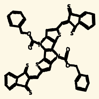 O=C(OCc1ccccc1)n1c2cc(C=C3C(=S)c4ccccc4C3=S)sc2c2c1c1sc(C=C3C(=S)c4ccccc4C3=S)cc1n2C(=O)OCc1ccccc1